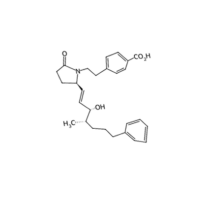 C[C@@H](CCCc1ccccc1)[C@@H](O)C=C[C@H]1CCC(=O)N1CCc1ccc(C(=O)O)cc1